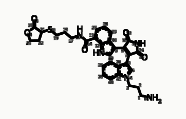 NCCCn1cc(C2=C(c3c[nH]c4c(C(=O)NCCCSC5CCOC5=O)cccc34)C(=O)NC2=O)c2ccccc21